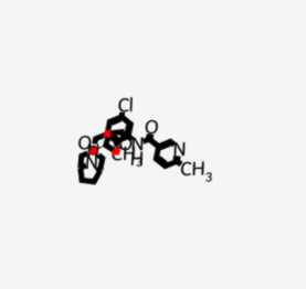 Cc1ccc(C(=O)Nc2cc(Cl)cc(CN3CC4CCC(C3)N4C(=O)[C@@H]3CCOC3)c2C)cn1